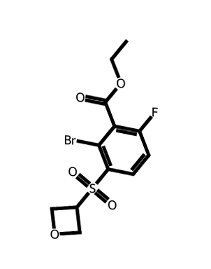 CCOC(=O)c1c(F)ccc(S(=O)(=O)C2COC2)c1Br